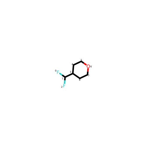 F[C](F)C1CCOCC1